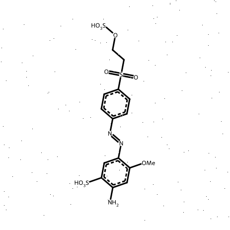 COc1cc(N)c(S(=O)(=O)O)cc1N=Nc1ccc(S(=O)(=O)CCOS(=O)(=O)O)cc1